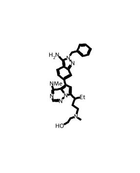 CCC(CCN(C)CCO)c1cc(-c2ccc3c(N)n(Cc4ccccc4)nc3c2)c2c(NC)ncnn12